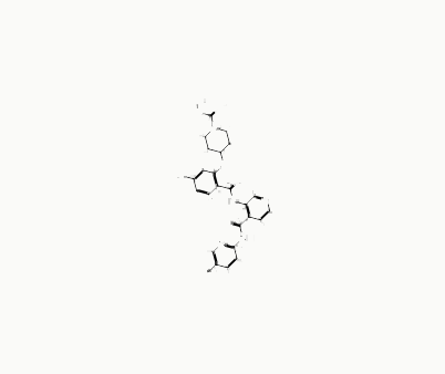 CC(C)(C)OC(=O)N1CCC(Oc2cc(C(C)(C)C)ccc2C(=O)Nc2cnccc2C(=O)Nc2ccc(Cl)cn2)CC1